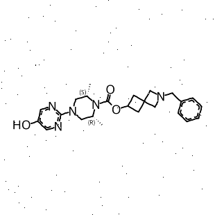 C[C@@H]1CN(c2ncc(O)cn2)C[C@H](C)N1C(=O)OC1CC2(C1)CN(Cc1ccccc1)C2